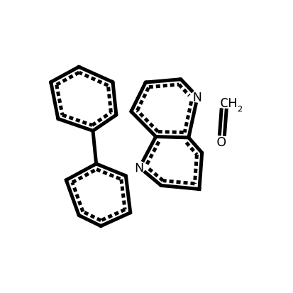 C=O.c1ccc(-c2ccccc2)cc1.c1cnc2cccnc2c1